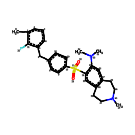 Cc1cccc(Cc2ccc(S(=O)(=O)c3cc4c(cc3N(C)C)CCN(C)CC4)cc2)c1F